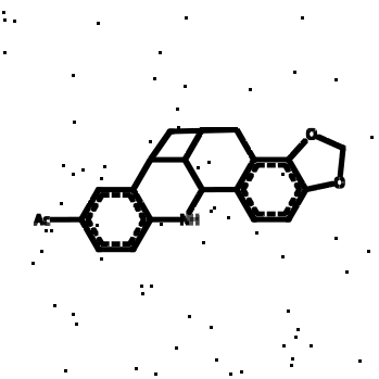 CC(=O)c1ccc2c(c1)C1CC3CC1C(N2)c1ccc2c(c13)OCO2